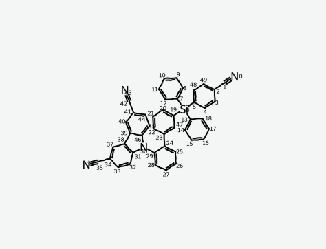 N#Cc1ccc([Si](c2ccccc2)(c2ccccc2)c2cccc(-c3ccccc3-n3c4ccc(C#N)cc4c4cc(C#N)ccc43)c2)cc1